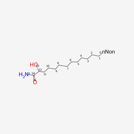 CCCCCCCCCCCCCCCCCCCCC(O)C(N)=O